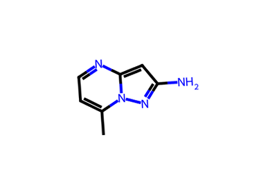 Cc1ccnc2cc(N)nn12